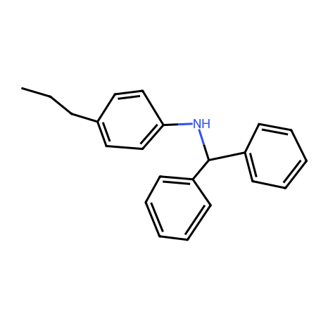 CCCc1ccc(NC(c2ccccc2)c2ccccc2)cc1